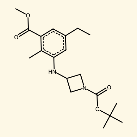 CCc1cc(NC2CN(C(=O)OC(C)(C)C)C2)c(C)c(C(=O)OC)c1